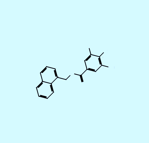 O=C(OCc1cccc2ccccc12)c1cc(O)c(O)c(O)c1